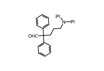 CC(C)N(CCCC(C=O)(c1ccccc1)c1ccccc1)C(C)C